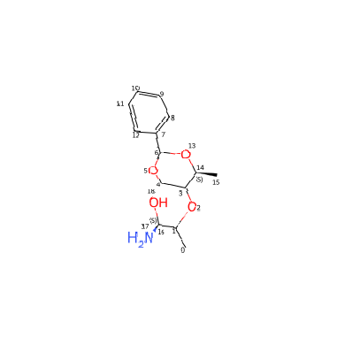 CC(OC1COC(c2ccccc2)O[C@H]1C)[C@@H](N)O